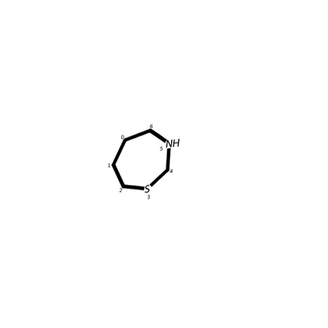 C1CCSCNC1